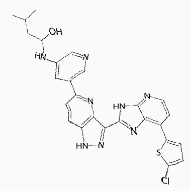 CC(C)CC(O)Nc1cncc(-c2ccc3[nH]nc(-c4nc5c(-c6ccc(Cl)s6)ccnc5[nH]4)c3n2)c1